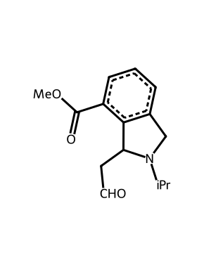 COC(=O)c1cccc2c1C(CC=O)N(C(C)C)C2